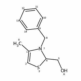 CC1=CSC(CO)N1Cc1ccccc1